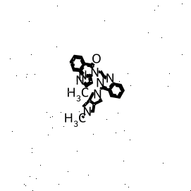 Cc1cc2n(Cc3nc(N4CC5CN(C)CC5C4)c4ccccc4n3)c(=O)c3ccccc3n2n1